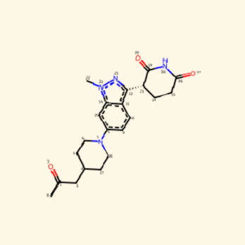 CC(=O)CC1CCN(c2ccc3c([C@H]4CCC(=O)NC4=O)nn(C)c3c2)CC1